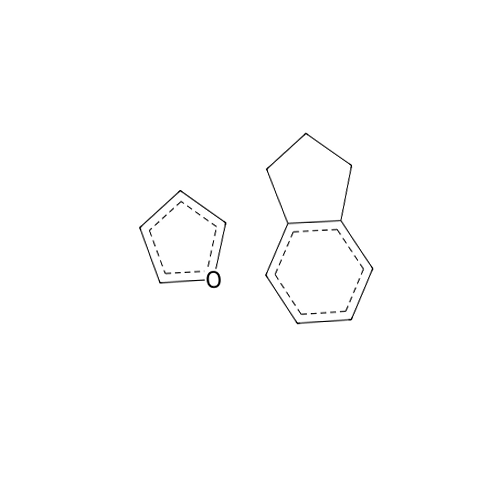 c1ccc2c(c1)CCC2.c1ccoc1